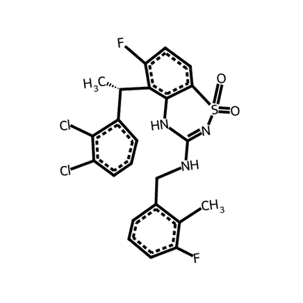 Cc1c(F)cccc1CNC1=NS(=O)(=O)c2ccc(F)c([C@@H](C)c3cccc(Cl)c3Cl)c2N1